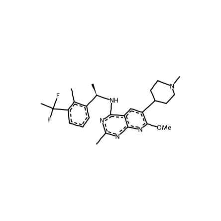 COc1nc2nc(C)nc(N[C@H](C)c3cccc(C(C)(F)F)c3C)c2cc1C1CCN(C)CC1